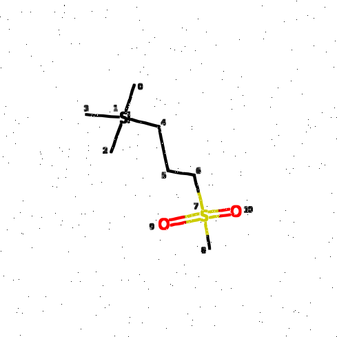 C[Si](C)(C)CCCS(C)(=O)=O